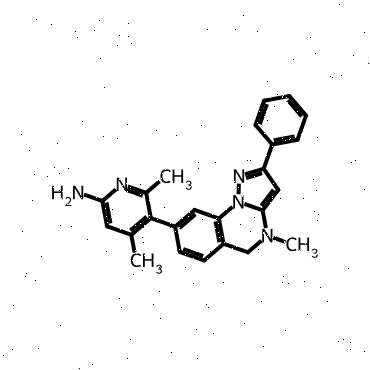 Cc1cc(N)nc(C)c1-c1ccc2c(c1)-n1nc(-c3ccccc3)cc1N(C)C2